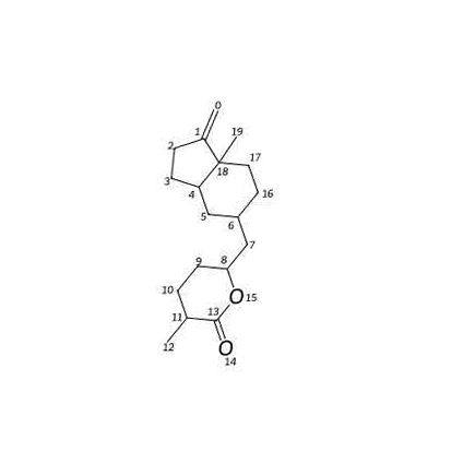 C=C1CCC2CC(CC3CCC(C)C(=O)O3)CCC12C